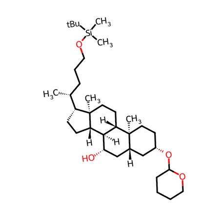 C[C@H](CCCO[Si](C)(C)C(C)(C)C)[C@H]1CC[C@H]2[C@@H]3[C@@H](O)C[C@H]4C[C@@H](OC5CCCCO5)CC[C@]4(C)[C@H]3CC[C@]12C